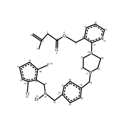 C=C(C)CC(=O)OCc1cccnc1N1CCN(Cc2ccc(CN(CC)Cc3c(F)cccc3Cl)cc2)CC1